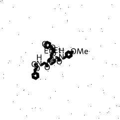 CC[Si](CC)(OCC1CN(C(=O)CCNC(=O)OCc2ccccc2)CCN1CC(=O)NCc1ccc(OC)cc1)OC1CCOCC1